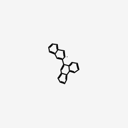 [c]1cc2ccccc2cc1-c1cc2ccccc2c2ccccc12